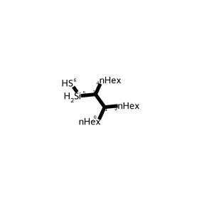 CCCCCC[C](CCCCCC)C(CCCCCC)[SiH2]S